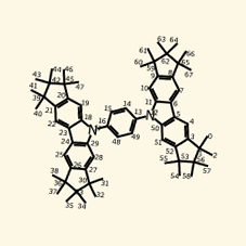 CC1(C)c2cc3c4cc5c(cc4n(-c4ccc(-n6c7cc8c(cc7c7cc9c(cc76)C(C)(C)C(C)(C)C9(C)C)C(C)(C)C(C)(C)C8(C)C)cc4)c3cc2C(C)(C)C1(C)C)C(C)(C)C(C)(C)C5(C)C